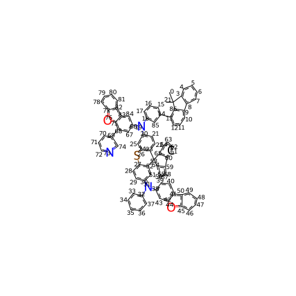 CC1(C)c2ccccc2-c2cccc(-c3cccc(N(c4ccc5c(c4)Sc4ccc(N(c6ccccc6)c6ccc7c(c6)oc6ccccc67)cc4C54c5ccccc5-c5ccccc54)c4cc(-c5cccnc5)c5oc6ccccc6c5c4)c3)c21